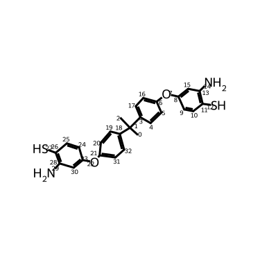 CC(C)(c1ccc(Oc2ccc(S)c(N)c2)cc1)c1ccc(Oc2ccc(S)c(N)c2)cc1